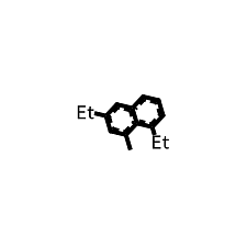 CCc1cc(C)c2c(CC)cccc2c1